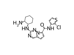 N[C@H]1CCCC[C@H]1Nc1ncc2ccc(C(=O)Nc3ccsc3Cl)n2n1